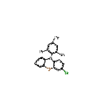 CC(C)c1cc(C(C)C)c(B2c3ccccc3Sc3cc(Br)ccc32)c(C(C)C)c1